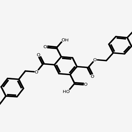 Cc1ccc(COC(=O)c2cc(C(=O)O)c(C(=O)OCc3ccc(C)cc3)cc2C(=O)O)cc1